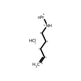 C=CCCCNCCC.Cl